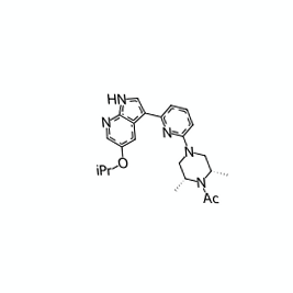 CC(=O)N1[C@H](C)CN(c2cccc(-c3c[nH]c4ncc(OC(C)C)cc34)n2)C[C@@H]1C